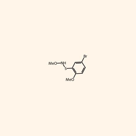 CONSc1cc(Br)ccc1OC